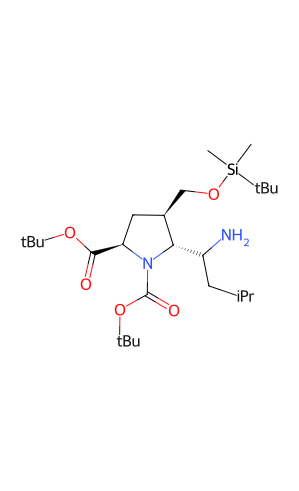 CC(C)CC(N)[C@H]1[C@H](CO[Si](C)(C)C(C)(C)C)C[C@H](C(=O)OC(C)(C)C)N1C(=O)OC(C)(C)C